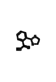 O=C(O)c1ccccc1C1SCCS1